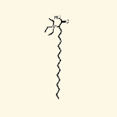 CCCCCCCCCCCCCCCC(C(=O)O)[N+](CC)(CC)CC